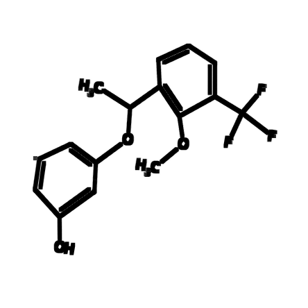 COc1c(C(C)Oc2c[c]cc(O)c2)cccc1C(F)(F)F